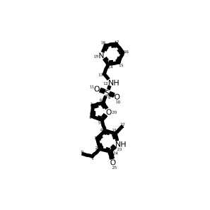 CCc1cc(-c2ccc(S(=O)(=O)NCc3ccccn3)o2)c(C)[nH]c1=O